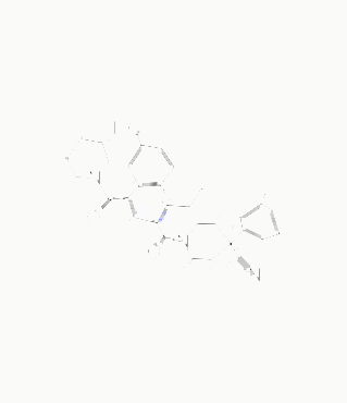 CC/C=C(/C=C(/C(=O)N1CCCCC1)c1cc(O)ccc1C)C(=O)N1CCC(C#N)(c2ccccc2)CC1